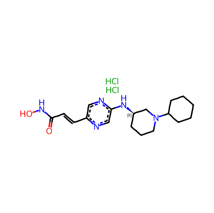 Cl.Cl.O=C(C=Cc1cnc(N[C@@H]2CCCN(C3CCCCC3)C2)cn1)NO